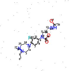 CCN1CCN(c2ccc(N3C[C@H](CNC(C)=O)OC3=O)cc2F)CCN1C